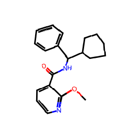 COc1ncccc1C(=O)NC(c1ccccc1)C1CCCCC1